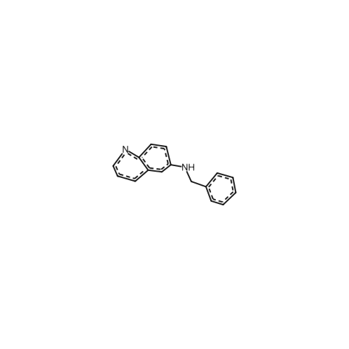 c1ccc(CNc2ccc3ncccc3c2)cc1